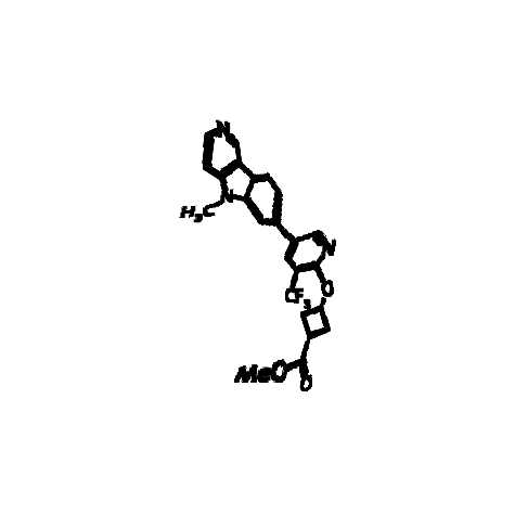 COC(=O)[C@H]1C[C@H](Oc2ncc(-c3ccc4c5cnccc5n(C)c4c3)cc2C(F)(F)F)C1